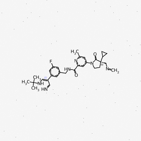 C=NC[C@@]1(C2CC2)CCN(c2cc(C)nc(C(=O)NCc3cc(F)cc(/C(C=N)=C/NC(C)(C)C)c3)c2)C1=O